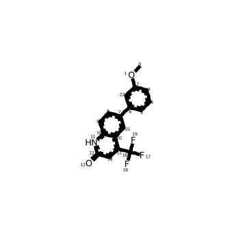 COc1cccc(-c2ccc3[nH]c(=O)cc(C(F)(F)F)c3c2)c1